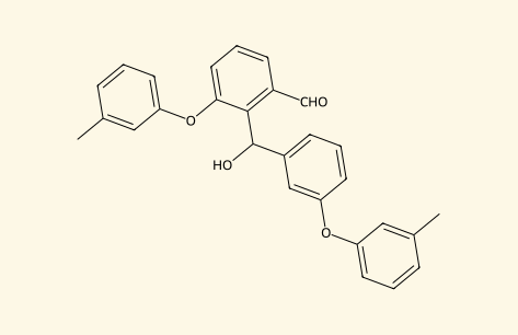 Cc1cccc(Oc2cccc(C(O)c3c(C=O)cccc3Oc3cccc(C)c3)c2)c1